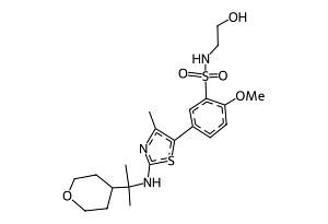 COc1ccc(-c2sc(NC(C)(C)C3CCOCC3)nc2C)cc1S(=O)(=O)NCCO